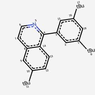 CC(C)(C)c1cc(-c2nccc3cc(C(C)(C)C)ccc23)cc(C(C)(C)C)c1